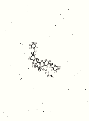 NCCCCC[C@H]1C(=O)N[C@@H](Cc2ccc(OCc3ccccc3)cc2)C(=O)N1Cc1ccc(OCc2ccccc2)cc1